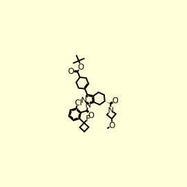 COC1CN(C(=O)[C@H]2CCc3c(C4=CCC(C(=O)OC(C)(C)C)CC4)nn(C(=O)c4c(Cl)cccc4C4(F)CCC4)c3C2)C1